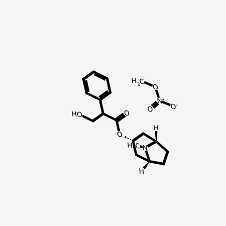 CN1[C@@H]2CC[C@H]1C[C@@H](OC(=O)C(CO)c1ccccc1)C2.CO[N+](=O)[O-]